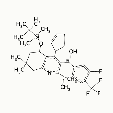 CC(C)c1nc2c(c(C3C=CCC3)c1[C@H](O)c1ccc(C(F)(F)F)c(F)c1)C(O[Si](C)(C)C(C)(C)C)CC(C)(C)C2